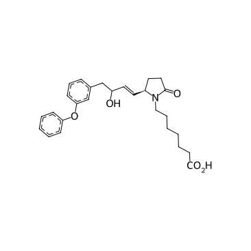 O=C(O)CCCCCCN1C(=O)CC[C@@H]1C=CC(O)Cc1cccc(Oc2ccccc2)c1